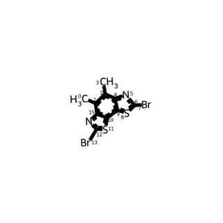 Cc1c(C)c2nc(Br)sc2c2sc(Br)nc12